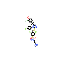 COc1ccc(C(C)(C)c2cnc(SCc3c(F)cc(S(=O)(=O)NCCC[N+](C)(C)C)cc3F)n2-c2ccc(F)cc2)cc1Cl